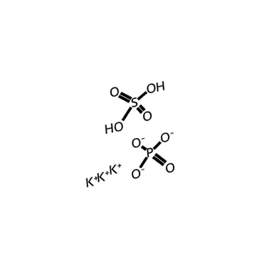 O=P([O-])([O-])[O-].O=S(=O)(O)O.[K+].[K+].[K+]